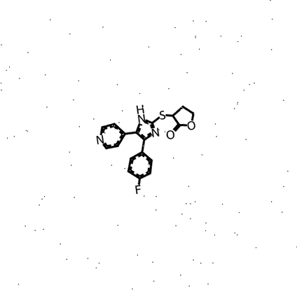 O=C1OCCC1Sc1nc(-c2ccc(F)cc2)c(-c2ccncc2)[nH]1